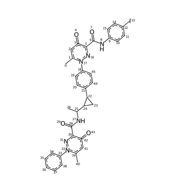 Cc1cc(=O)c(C(=O)Nc2ccc(I)cc2)nn1-c1ccc(C2CC2C(C)NC(=O)c2nn(-c3ccccc3)c(C)cc2=O)cc1